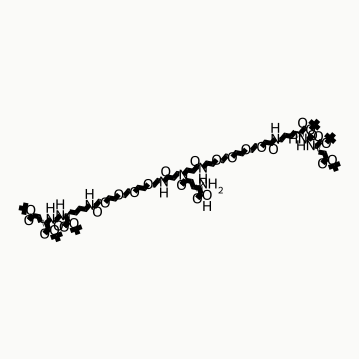 CC(C)(C)OC(=O)CC[C@H](NC(=O)N[C@@H](CCCCNC(=O)COCCOCCOCCOCCNC(=O)CCN(CCC(=O)NCCOCCOCCOCCOCC(=O)NCCCC[C@H](NC(=O)N[C@@H](CCC(=O)OC(C)(C)C)C(=O)OC(C)(C)C)C(=O)OC(C)(C)C)C(=O)CC[C@H](N)C(=O)O)C(=O)OC(C)(C)C)C(=O)OC(C)(C)C